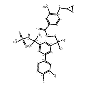 COc1cc(C(=O)NCC(O)(c2cc(C(C)(C)NS(C)(=O)=O)cc(-c3ccc(F)c(Cl)c3)n2)C(F)(F)F)ccc1OC1CC1